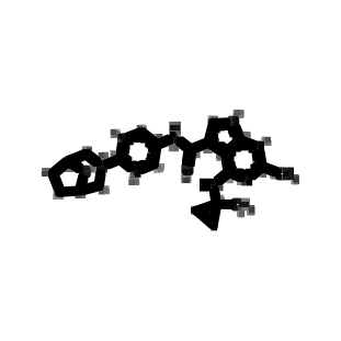 Cc1nc(NC2(C)CC2)c2c(C(=O)Nc3cnc(N4CC5CCC(C4)O5)nc3)coc2n1